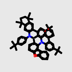 CC(C)(C)c1ccc(N2B3c4ccc5oc6ccccc6c5c4N(c4ccc(C(C)(C)C)cc4-c4ccccc4)c4cc(C(C)(C)C)cc(c43)-c3cc4c(cc32)C(C)(C)CCC4(C)C)cc1